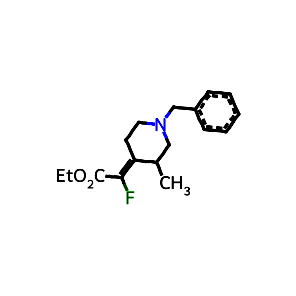 CCOC(=O)C(F)=C1CCN(Cc2ccccc2)CC1C